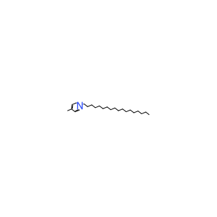 CCCCCCCCCCCCCCCCCCN1C=CC(C)=CC1